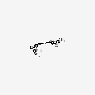 CCC(c1ccc(CCCCCCCCCc2ccc(C(CC)c3ccc(N)cc3C)cc2)cc1)c1ccc(N)cc1C